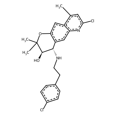 Cc1cc(Cl)nc2cc3c(cc12)OC(C)(C)[C@H](O)[C@H]3NCCc1ccc(Cl)cc1